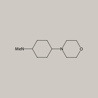 CNC1CCC(N2CCOCC2)CC1